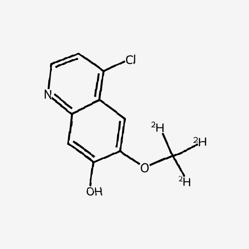 [2H]C([2H])([2H])Oc1cc2c(Cl)ccnc2cc1O